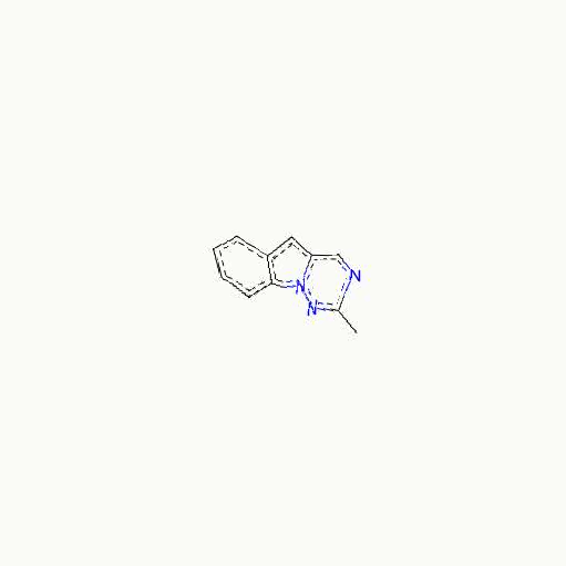 Cc1ncc2cc3ccccc3n2n1